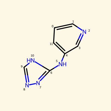 c1cncc(Nc2nnc[nH]2)c1